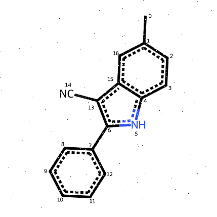 Cc1ccc2[nH]c(-c3ccccc3)c(C#N)c2c1